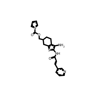 Nc1c(NC(=O)/C=C/c2cccnc2)sc2c1CCC(COC(=O)n1cccc1)C2